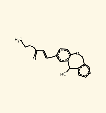 CCOC(=O)C=Cc1ccc2c(c1)C(O)c1ccccc1CO2